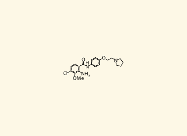 COc1c(Cl)ccc(C(=O)Nc2ccc(OCCN3CCCC3)cc2)c1N